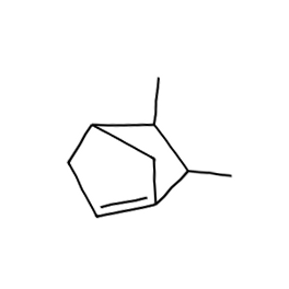 CC1C2=CCC(C2)C1C